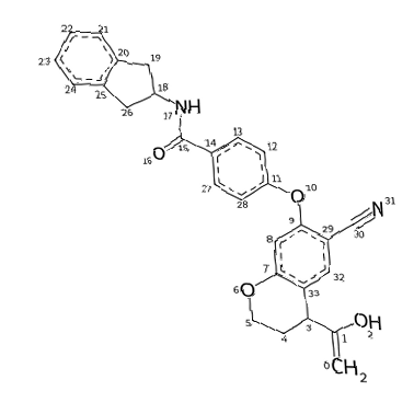 C=C(O)C1CCOc2cc(Oc3ccc(C(=O)NC4Cc5ccccc5C4)cc3)c(C#N)cc21